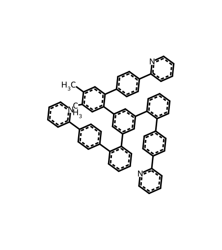 Cc1cc(-c2ccc(-c3ccccn3)cc2)c(-c2cc(-c3ccccc3-c3ccc(-c4ccccn4)cc3)cc(-c3ccccc3-c3ccc(-c4ccccn4)cc3)c2)cc1C